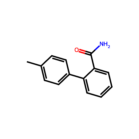 Cc1ccc(-c2ccccc2C(N)=O)cc1